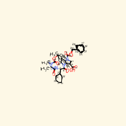 C[C@@H](C(=O)N[C@H](C(=O)N1CC[C@@H]2[C@H]1C(C(=O)O)CN2C(=O)OCc1ccccc1)C1CCCCC1)N(C)C(=O)OC(C)(C)C